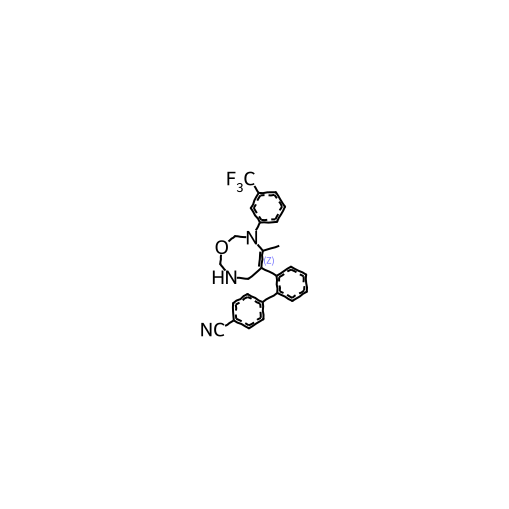 C/C1=C(\c2ccccc2-c2ccc(C#N)cc2)CNCOCN1c1cccc(C(F)(F)F)c1